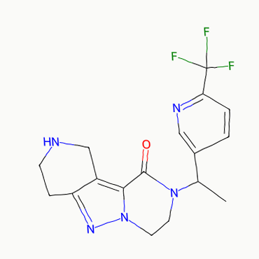 CC(c1ccc(C(F)(F)F)nc1)N1CCn2nc3c(c2C1=O)CNCC3